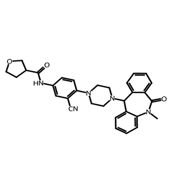 CN1C(=O)c2ccccc2C(N2CCN(c3ccc(NC(=O)C4CCOC4)cc3C#N)CC2)c2ccccc21